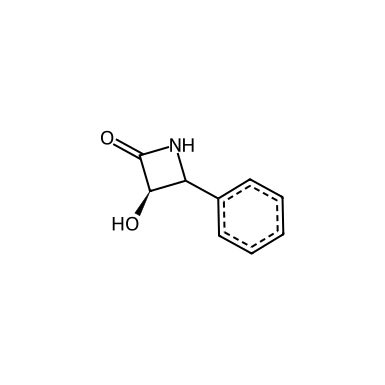 O=C1NC(c2ccccc2)[C@H]1O